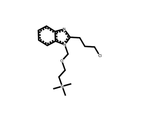 C[Si](C)(C)CCOCn1c(CCCCl)nc2ccccc21